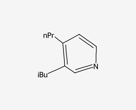 CCCc1ccncc1C(C)CC